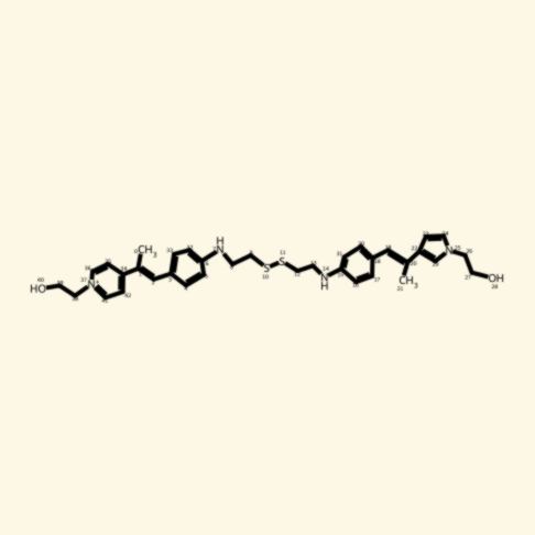 C/C(=C\c1ccc(NCCSSCCNc2ccc(/C=C(\C)c3ccn(CCO)c3)cc2)cc1)c1cc[n+](CCO)cc1